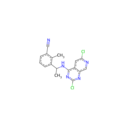 Cc1c(C#N)cccc1C(C)Nc1nc(Cl)nc2cnc(Cl)cc12